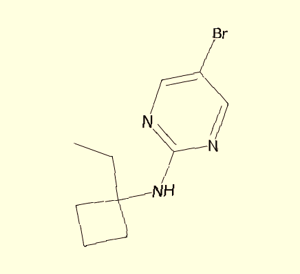 CCC1(Nc2ncc(Br)cn2)CCC1